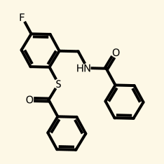 O=C(NCc1cc(F)ccc1SC(=O)c1ccccc1)c1ccccc1